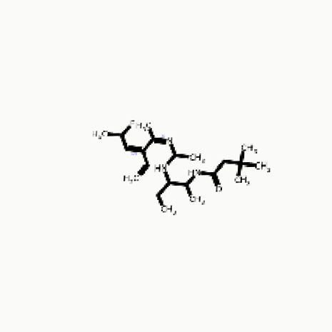 C=CC(=C/C(C)F)/C(C)=N\C(C)NC(CC)C(C)NC(=O)CC(C)(C)C